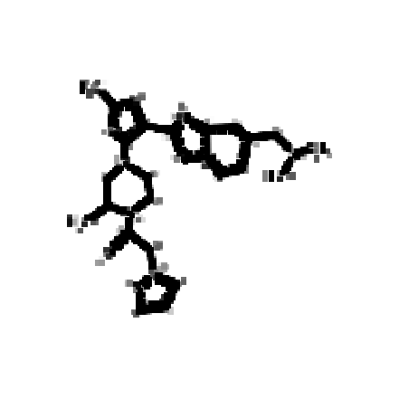 CC1CN(c2sc(C(F)(F)F)nc2-c2nc3ccc(CN(C)C)cc3[nH]2)CCN1C(=O)Cn1cccn1